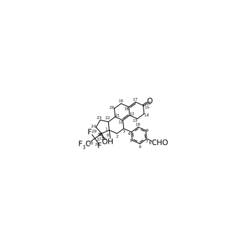 CC12CC(c3ccc(C=O)cc3)C3=C4CCC(=O)C=C4CCC3C1CC[C@@]2(O)C(F)(F)C(F)(F)F